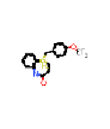 O=C1CC[SH2](Cc2ccc(OC(F)(F)F)cc2)=c2ccccc2=N1